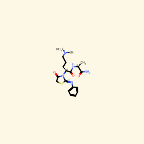 C[C@H](NC(=O)[C@H](CCCN(C(=O)O)C(C)(C)C)N1C(=O)CS/C1=N\c1ccccc1)C(N)=O